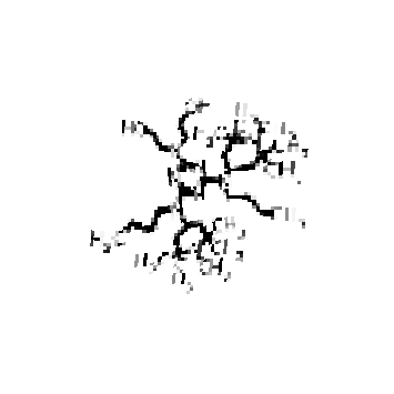 CCCCN(c1nc(N(CCO)CCO)nc(N(CCCC)C2CC(C)(C)N(C)C(C)(C)C2)n1)C1CC(C)(C)N(C)C(C)(C)C1